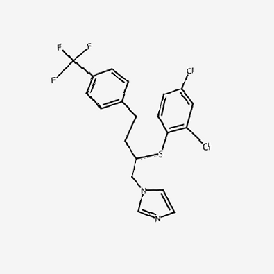 FC(F)(F)c1ccc(CCC(Cn2ccnc2)Sc2ccc(Cl)cc2Cl)cc1